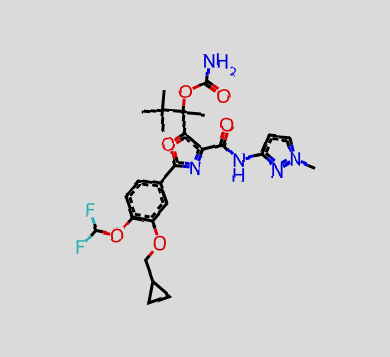 Cn1ccc(NC(=O)c2nc(-c3ccc(OC(F)F)c(OCC4CC4)c3)oc2C(C)(OC(N)=O)C(C)(C)C)n1